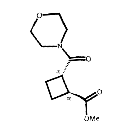 COC(=O)[C@H]1CC[C@@H]1C(=O)N1CCOCC1